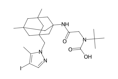 Cc1c(I)cnn1CC12CC3(C)CC(C)(C1)CC(NC(=O)CN(C(=O)O)C(C)(C)C)(C3)C2